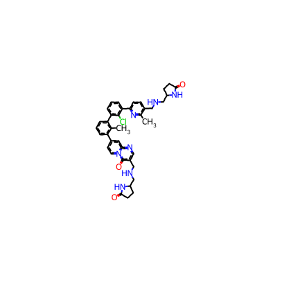 Cc1nc(-c2cccc(-c3cccc(-c4ccn5c(=O)c(CNCC6CCC(=O)N6)cnc5c4)c3C)c2Cl)ccc1CNCC1CCC(=O)N1